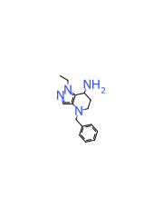 CCn1ncc2c1C(N)CCN2Cc1ccccc1